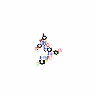 COc1ccc(SN(CC(=O)NSc2ccc(F)cc2)c2cccc3c2CCN3C(C(=O)NSc2ccc(C)cc2OC)c2cccc(OC)c2)cc1